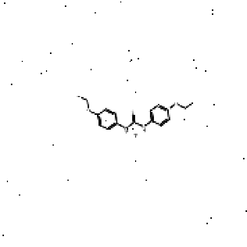 CCOc1ccc(NC(=S)Nc2ccc(OCC)cc2)cc1.[Ti]